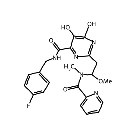 COC(Cc1nc(O)c(O)c(C(=O)NCc2ccc(F)cc2)n1)N(C)C(=O)c1ccccn1